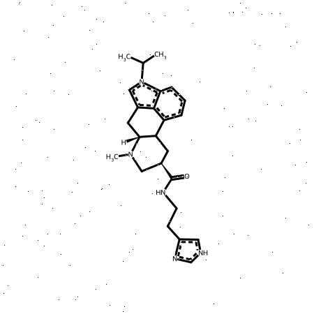 CC(C)n1cc2c3c(cccc31)C1C[C@@H](C(=O)NCCc3c[nH]cn3)CN(C)[C@@H]1C2